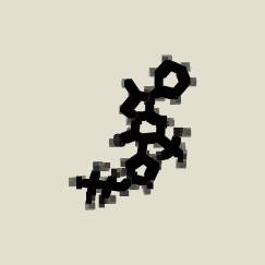 Cc1cn2c(=O)c(-c3cnn(CC(F)(F)C(F)(F)F)c3)c(C(F)(F)F)nc2n1-c1ccccc1